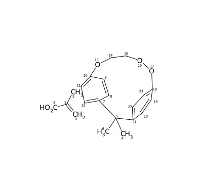 C=C(C)C(=O)O.CC1(C)c2ccc(cc2)OCCOOc2ccc1cc2